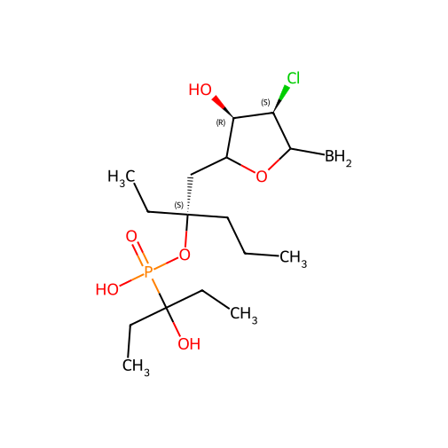 BC1OC(C[C@](CC)(CCC)OP(=O)(O)C(O)(CC)CC)[C@@H](O)[C@H]1Cl